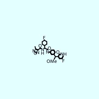 COCC(c1ccc2oc(C(NC(=O)c3nonc3C)C3CCC(F)CC3)nc2c1)c1cc(F)c[nH]c1=O